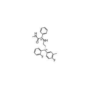 CNC(=O)[C@H](NCC[C@H](c1ccc(F)c(C)c1)c1ccccc1F)c1ccccc1